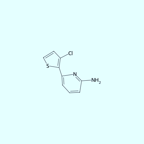 Nc1cccc(-c2sccc2Cl)n1